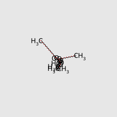 CCCCCCCCCCCCCCCCCCC(=O)OCC(COP(=O)(O)OCC[N+](C)(C)C)OC(=O)CCCCCCCCCCCCC